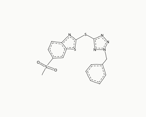 CS(=O)(=O)c1ccc2nc(Sc3nnn(Cc4ccccc4)n3)sc2c1